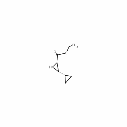 CCOC(=O)[C@@H]1N[C@H]1C1CC1